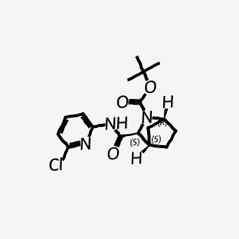 CC(C)(C)OC(=O)N1[C@@H]2CC[C@@H](C2)[C@H]1C(=O)Nc1cccc(Cl)n1